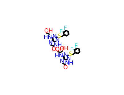 O=c1cnc2c(NC(CO)CO)nc(SCc3cccc(F)c3F)nc2[nH]1.O=c1cnc2c(NCCO)nc(SCc3cccc(F)c3F)nc2[nH]1